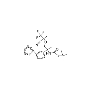 CC(C)(C)OC(=O)NC(C)(COC(C)(C#N)C(F)(F)F)c1cccc(-c2cncnc2)c1